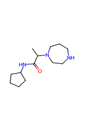 CC(C(=O)NC1CCCC1)N1CCCNCC1